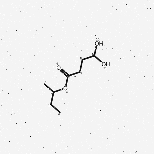 CCC(C)OC(=O)CCC(O)O